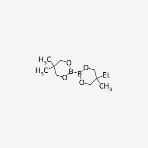 CCC1(C)COB(B2OCC(C)(C)CO2)OC1